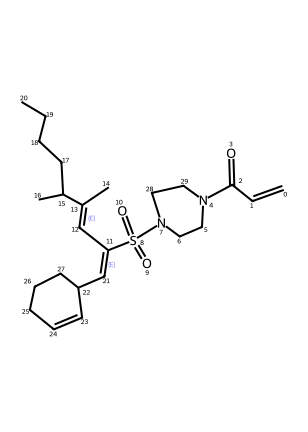 C=CC(=O)N1CCN(S(=O)(=O)C(/C=C(\C)C(C)CCCC)=C/C2C=CCCC2)CC1